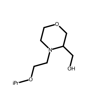 CC(C)OCCN1CCOCC1CO